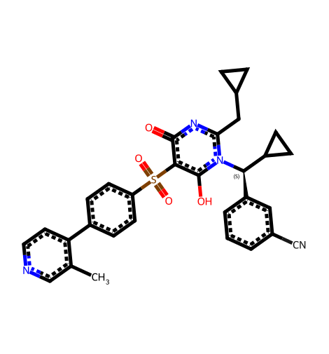 Cc1cnccc1-c1ccc(S(=O)(=O)c2c(O)n([C@H](c3cccc(C#N)c3)C3CC3)c(CC3CC3)nc2=O)cc1